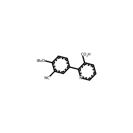 CC(C)COc1ccc(-c2ncccc2C(=O)O)cc1C#N